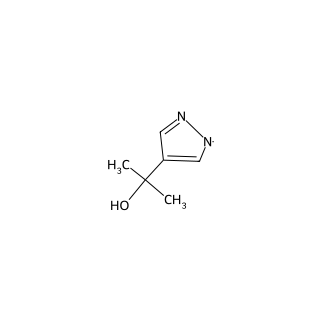 CC(C)(O)C1=C[N]N=C1